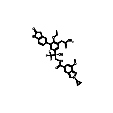 CCOc1c(CC(N)=O)cc([C@@](O)(CNC(=O)c2cc(OC)c3nn(C4CC4)cc3c2)C(F)(F)F)nc1-c1ccc2c(c1)CC(=O)N2